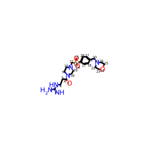 N=C(N)NCCC(=O)N1CCN(CS(=O)(=O)c2ccc(CN3CCOCC3)cc2)CC1